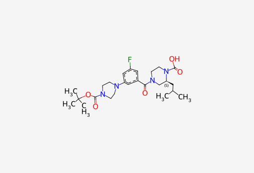 CC(C)C[C@H]1CN(C(=O)c2cc(F)cc(N3CCN(C(=O)OC(C)(C)C)CC3)c2)CCN1C(=O)O